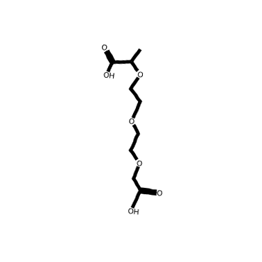 CC(OCCOCCOCC(=O)O)C(=O)O